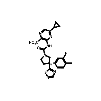 Cc1ccc([C@]2(c3ncns3)CCN(C(=O)Nc3nc(C4CC4)cnc3C(=O)O)C2)cc1F